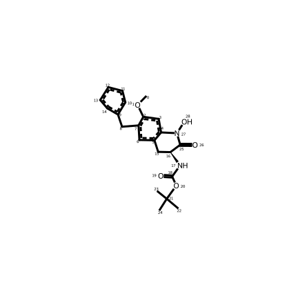 COc1cc2c(cc1Cc1ccccc1)C[C@H](NC(=O)OC(C)(C)C)C(=O)N2O